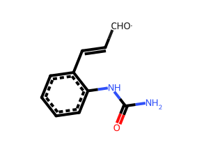 NC(=O)Nc1ccccc1/C=C/[C]=O